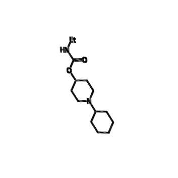 CCNC(=O)OC1CCN(C2CCCCC2)CC1